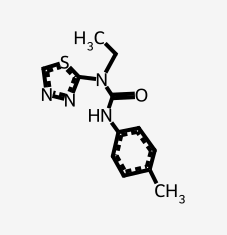 CCN(C(=O)Nc1ccc(C)cc1)c1nncs1